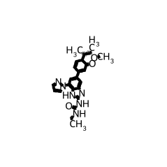 CCNC(=O)Nc1nc2cc(C3=CC(=O)C([C@@H](C)[C@@H](C)OC)C=C3)cc(-n3cccn3)c2[nH]1